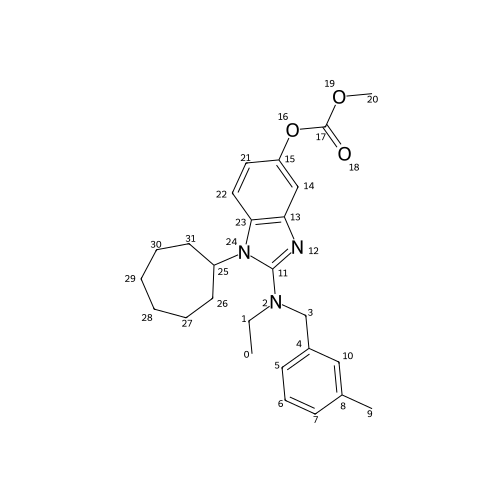 CCN(Cc1cccc(C)c1)c1nc2cc(OC(=O)OC)ccc2n1C1CCCCCC1